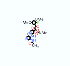 C=CC(=O)Nc1cncc(C)c1Nc1cc2c(OC(=O)NC)c(C(=O)c3c(F)c(OC)cc(OC)c3F)oc2cn1